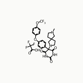 CN1CCC2(CCN(C3(c4ccc(Oc5ccc(OC(F)(F)F)cc5)cc4)C(=O)NC(=O)NC3=O)C2)C1.O=C(O)C(F)(F)F